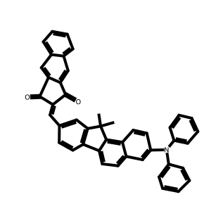 CC1(C)c2cc(C=C3C(=O)c4cc5ccccc5cc4C3=O)ccc2-c2ccc3cc(N(c4ccccc4)c4ccccc4)ccc3c21